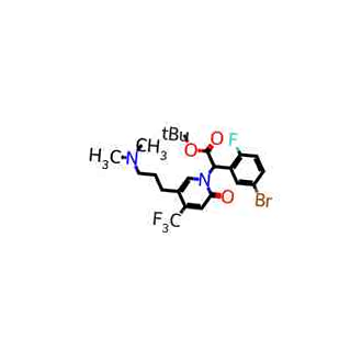 CN(C)CCCc1cn(C(C(=O)OC(C)(C)C)c2cc(Br)ccc2F)c(=O)cc1C(F)(F)F